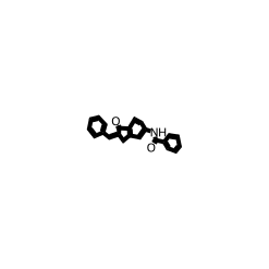 O=C(Nc1ccc2c(c1)CC(=Cc1ccccc1)C2=O)c1ccccc1